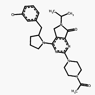 CC(=O)N1CCN(c2nc3c(c(N4CCCC4Cc4cccc(Cl)c4)n2)CN(C(C)C)C3=O)CC1